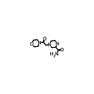 NC(=O)C1CN(CC(=O)N2CCOCC2)CC[N]1